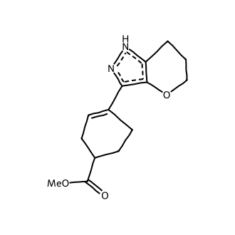 COC(=O)C1CC=C(c2n[nH]c3c2OCCC3)CC1